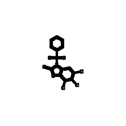 O=c1oc2c(Cl)c(Cl)c(Cl)cc2n1S(=O)(=O)c1ccccc1